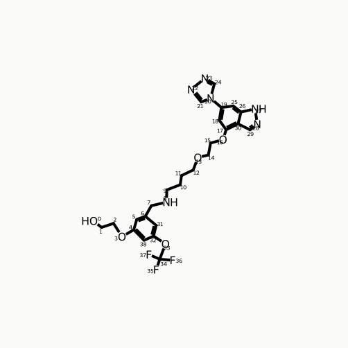 OCCOc1cc(CNCCCCOCCOc2cc(-n3cnnc3)cc3[nH]ncc23)cc(OC(F)(F)F)c1